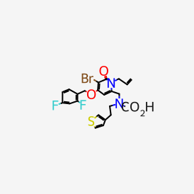 C=CCn1c(CN(CCc2ccsc2)C(=O)O)cc(OCc2ccc(F)cc2F)c(Br)c1=O